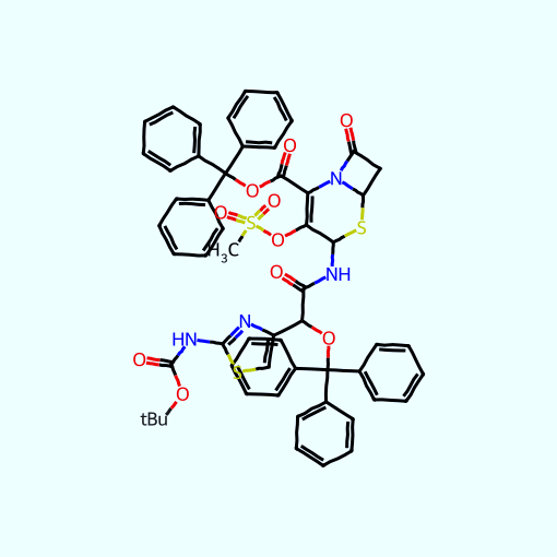 CC(C)(C)OC(=O)Nc1nc(C(OC(c2ccccc2)(c2ccccc2)c2ccccc2)C(=O)NC2SC3CC(=O)N3C(C(=O)OC(c3ccccc3)(c3ccccc3)c3ccccc3)=C2OS(C)(=O)=O)cs1